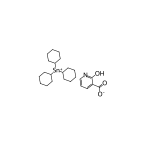 C1CC[CH]([Sn+]([CH]2CCCCC2)[CH]2CCCCC2)CC1.O=C([O-])c1cccnc1O